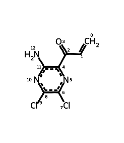 C=CC(=O)c1nc(Cl)c(Cl)nc1N